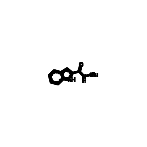 CC(C)(C)NC(=O)c1cc2ccccc2[nH]1